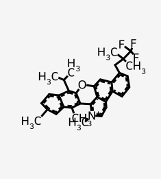 Cc1ccc2c(C(C)C)c3c(c(C)c2c1)-c1c2c(cc4c(CC(C)(C)C(F)(F)F)cccc4c2cc[n+]1C)O3